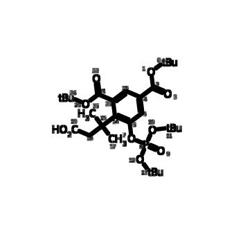 CC(C)(C)OC(=O)c1cc(OP(=O)(OC(C)(C)C)OC(C)(C)C)c(C(C)(C)CC(=O)O)c(C(=O)OC(C)(C)C)c1